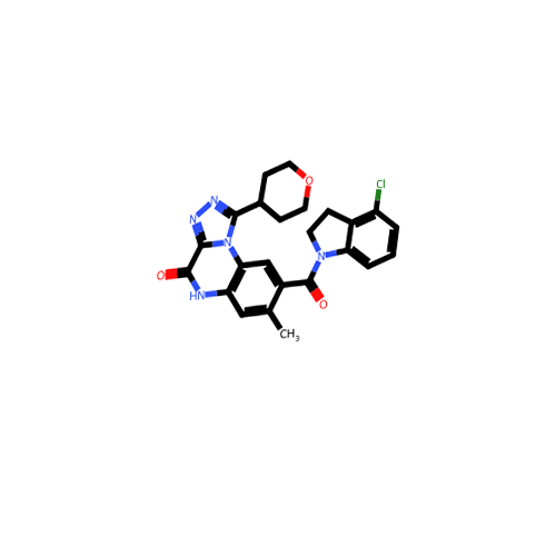 Cc1cc2[nH]c(=O)c3nnc(C4CCOCC4)n3c2cc1C(=O)N1CCc2c(Cl)cccc21